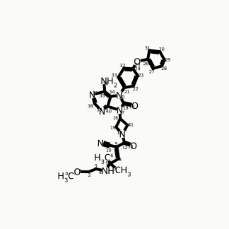 COCCNC(C)(C)C=C(C#N)C(=O)N1CC(n2c(=O)n(-c3ccc(Oc4ccccc4)cc3)c3c(N)ncnc32)C1